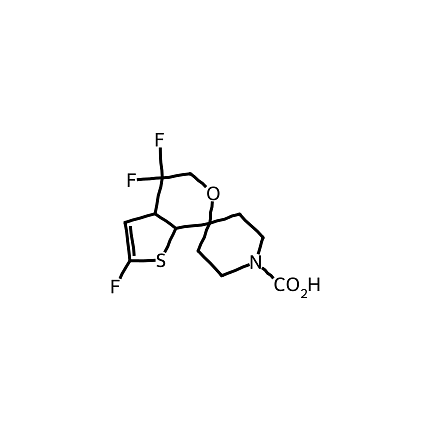 O=C(O)N1CCC2(CC1)OCC(F)(F)C1C=C(F)SC12